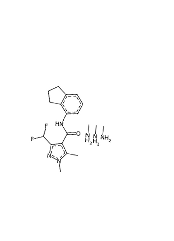 CN.CN.CN.Cc1c(C(=O)Nc2cccc3c2CCC3)c(C(F)F)nn1C